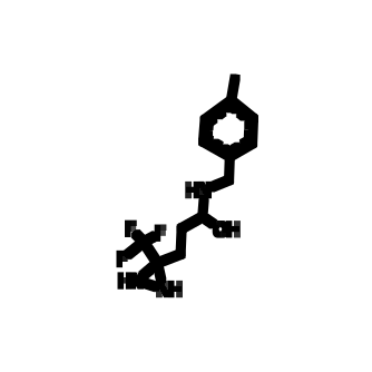 Cc1ccc(CNC(O)CCC2(C(F)(F)F)NN2)cc1